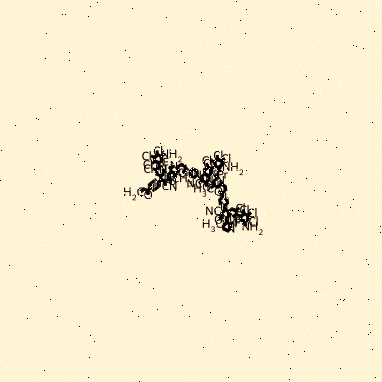 C=CC(=O)N1CCN(c2c(C#N)c(=O)n(-c3c(C)cc(/C=C\C(=O)N4CCN(c5c(C#N)c(=O)n(-c6c(C)cc(/C=C\C(=O)N7CCN(c8c(C#N)c(=O)n(-c9c(C)ccnc9C(C)C)c9nc(-c%10c(F)c(N)c(Cl)c(Cl)c%10Cl)c(Cl)cc89)CC7)nc6C(C)C)c6nc(-c7c(F)c(N)c(Cl)c(Cl)c7Cl)c(Cl)cc56)CC4)nc3C(C)C)c3nc(-c4c(F)c(N)c(Cl)c(Cl)c4Cl)c(Cl)cc23)CC1